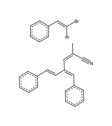 BrC(Br)=Cc1ccccc1.CC(C#N)=CC(C=Cc1ccccc1)=Cc1ccccc1